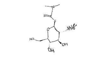 CC(=O)N[C@@H]1[C@@H](O)[C@H](O)[C@@H](CO)O[C@H]1SC(=S)N(C)C